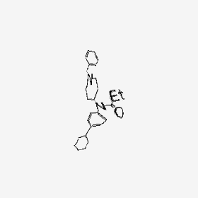 CCC(=O)N(c1ccc(C2CCCCC2)cc1)C1CCN(Cc2ccccc2)CC1